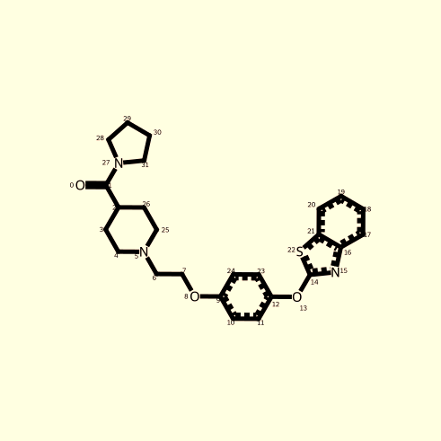 O=C(C1CCN(CCOc2ccc(Oc3nc4ccccc4s3)cc2)CC1)N1CCCC1